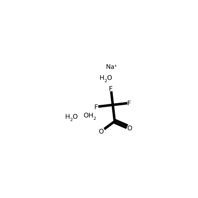 O.O.O.O=C([O-])C(F)(F)F.[Na+]